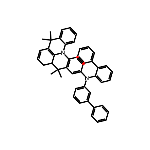 CC1(C)C2=C3C(CC=C2)C(C)(C)c2cc(N(c4cccc(-c5ccccc5)c4)c4ccccc4-c4ccccc4)ccc2N3c2ccccc21